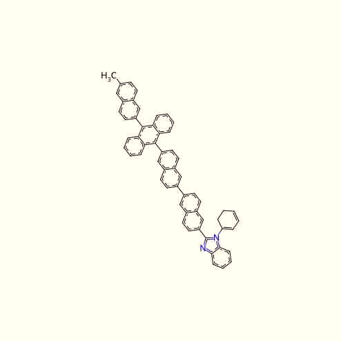 Cc1ccc2cc(-c3c4ccccc4c(-c4ccc5cc(-c6ccc7cc(-c8nc9ccccc9n8C8=CC=CCC8)ccc7c6)ccc5c4)c4ccccc34)ccc2c1